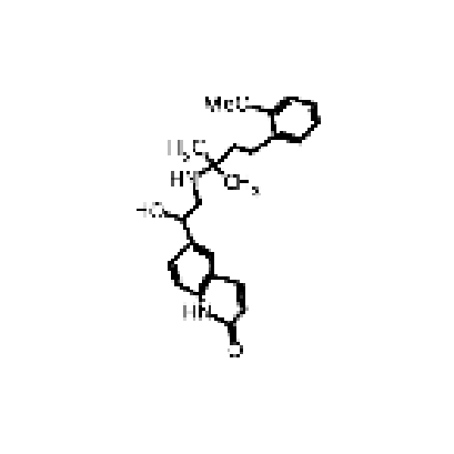 COc1ccccc1CCC(C)(C)NCC(O)c1ccc2[nH]c(=O)ccc2c1